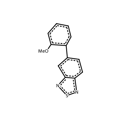 COc1ccccc1-c1ccc2nsnc2c1